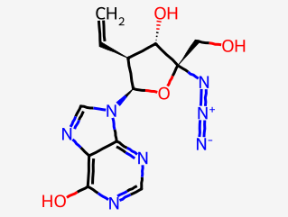 C=C[C@@H]1[C@H](n2cnc3c(O)ncnc32)O[C@@](CO)(N=[N+]=[N-])[C@H]1O